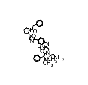 CN(C)[C@@H](C(=O)N(CCN)Cc1nc2ccc(-c3ncc([C@@H]4CCCN4C(=O)Cc4ccccc4)o3)cc2[nH]1)c1ccccc1